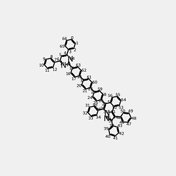 c1ccc(-c2cc(-c3ccccc3)nc(-c3ccc(-c4ccc(-c5ccc(-c6c(-c7ccccc7)n7nc(-c8ccccc8)c(-c8ccccc8)c7c7ccccc67)cc5)cc4)cc3)n2)cc1